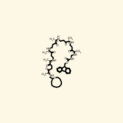 C[C@H](NCCC(=O)[C@H](C)NCCC(=O)[C@H](C)NCNC(=O)OCC1c2ccccc2-c2ccccc21)C(=O)CCN[C@@H](C)C(=O)CCN[C@@H](C)C(=O)CCC(=O)[C@H](C)NCC1CCCCCCCCCC1